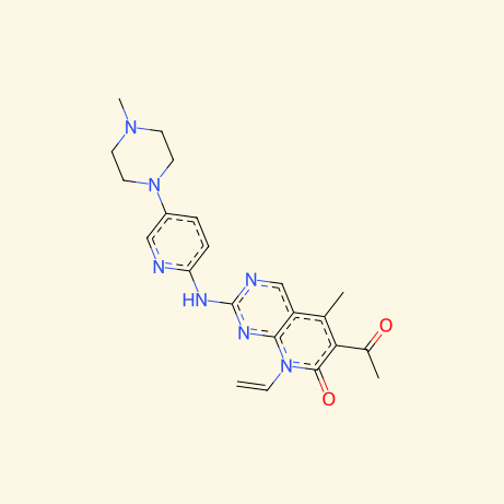 C=Cn1c(=O)c(C(C)=O)c(C)c2cnc(Nc3ccc(N4CCN(C)CC4)cn3)nc21